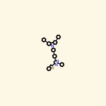 c1ccc(-c2ccc3c(c2)c2cc(-c4ccccc4)ccc2n3-c2ccc(-c3ccc(-c4cc(-c5cc6ccccc6s5)nc(-c5ccccc5)n4)cc3)cc2)cc1